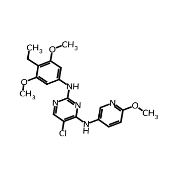 CCc1c(OC)cc(Nc2ncc(Cl)c(Nc3ccc(OC)nc3)n2)cc1OC